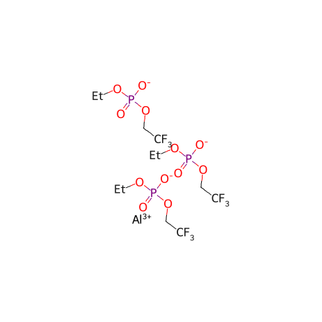 CCOP(=O)([O-])OCC(F)(F)F.CCOP(=O)([O-])OCC(F)(F)F.CCOP(=O)([O-])OCC(F)(F)F.[Al+3]